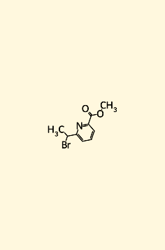 COC(=O)c1cccc(C(C)Br)n1